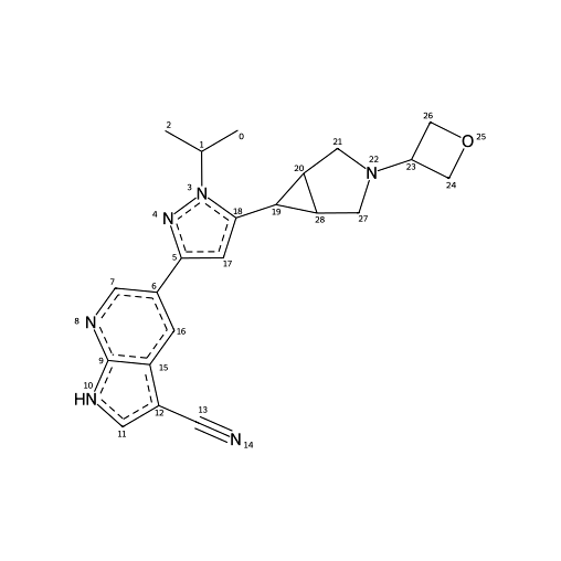 CC(C)n1nc(-c2cnc3[nH]cc(C#N)c3c2)cc1C1C2CN(C3COC3)CC21